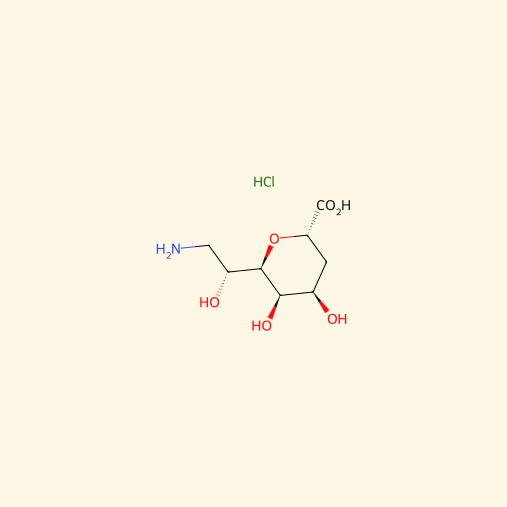 Cl.NC[C@@H](O)[C@H]1O[C@H](C(=O)O)C[C@@H](O)[C@H]1O